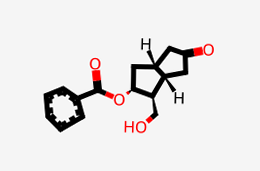 O=C1C[C@H]2C[C@@H](OC(=O)c3ccccc3)[C@H](CO)[C@H]2C1